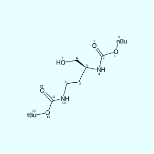 CCCCOC(=O)N[C@H](CO)CCNC(=O)OC(C)(C)C